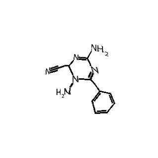 N#CC1N=C(N)N=C(c2ccccc2)N1N